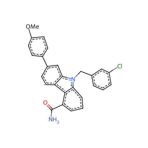 COc1ccc(-c2c[c]c3c4c(C(N)=O)cccc4n(Cc4cccc(Cl)c4)c3c2)cc1